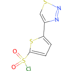 O=S(=O)(Cl)c1ccc(-c2csnn2)s1